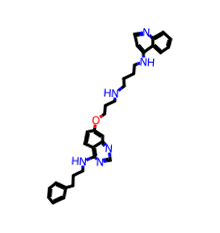 c1ccc(CCCNc2ncnc3cc(OCCCNCCCCNc4ccnc5ccccc45)ccc23)cc1